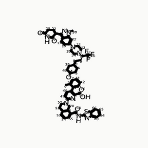 Cc1c(OC2CCC(CC[C@@H](N3CCN(c4ccc5c(C6CCC(=O)NC6=O)nn(C)c5c4)CC3)C(F)(F)F)CC2)cccc1-c1ccc(N2CCc3cccc(C(=O)Nc4nc5ccccc5s4)c3C2)nc1C(=O)O